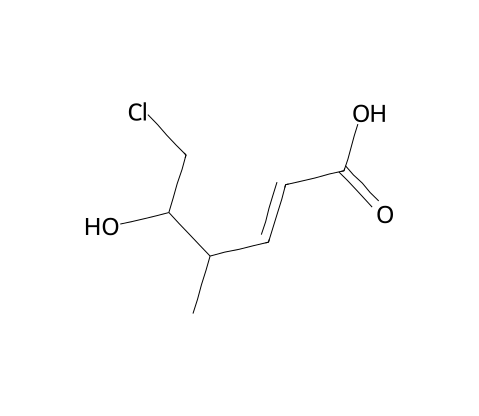 CC(C=CC(=O)O)C(O)CCl